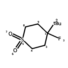 CC(C)(C)C1(F)CCS(=O)(=O)CC1